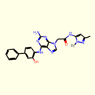 CCn1nc(C)cc1NC(=O)Cn1cnc2c(Nc3ccc(-c4ccccc4)cc3O)nc(N)nc21